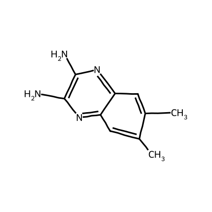 Cc1cc2nc(N)c(N)nc2cc1C